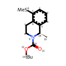 CSc1cccc2c1CCN(C(=O)OC(C)(C)C)[C@H]2C